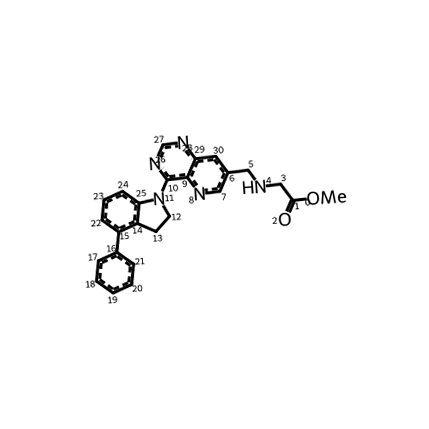 COC(=O)CNCc1cnc2c(N3CCc4c(-c5ccccc5)cccc43)ncnc2c1